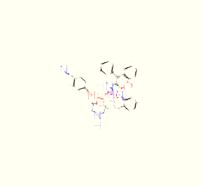 N#Cc1ccc(SC[C@@H]2CNC[C@@H](CCc3ccccc3NC(=O)[C@@H](NC(=O)O)C(c3ccccc3)c3ccccc3)O2)cc1